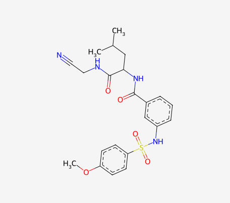 COc1ccc(S(=O)(=O)Nc2cccc(C(=O)NC(CC(C)C)C(=O)NCC#N)c2)cc1